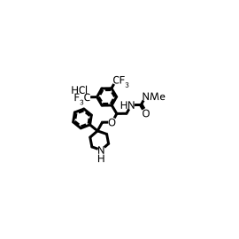 CNC(=O)NCC(OCC1(c2ccccc2)CCNCC1)c1cc(C(F)(F)F)cc(C(F)(F)F)c1.Cl